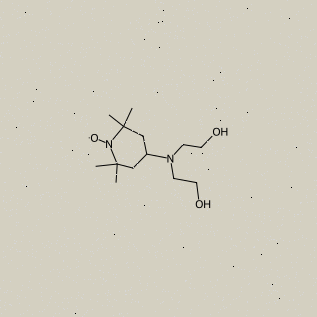 CC1(C)CC(N(CCO)CCO)CC(C)(C)N1[O]